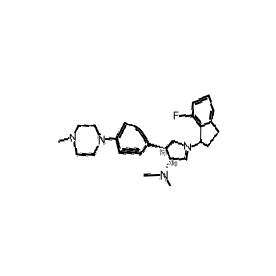 CN1CCN(c2ccc([C@H]3CN(C4CCc5cccc(F)c54)C[C@@H]3N(C)C)cc2)CC1